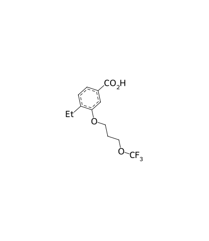 CCc1ccc(C(=O)O)cc1OCCCOC(F)(F)F